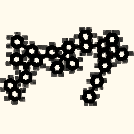 c1ccc(-c2ccc(-c3ccc(N(c4cccc(-c5ccc(-c6ccc7c(c6)C(c6ccccc6)(c6ccccc6)c6cc(-c8ccc(N(c9cccc(-c%10cccc%11ccccc%10%11)c9)c9ccccc9-c9ccccc9-c9ccccc9)cc8)ccc6-7)c6ccccc56)c4)c4ccccc4-c4ccccc4-c4ccccc4)cc3)cc2)cc1